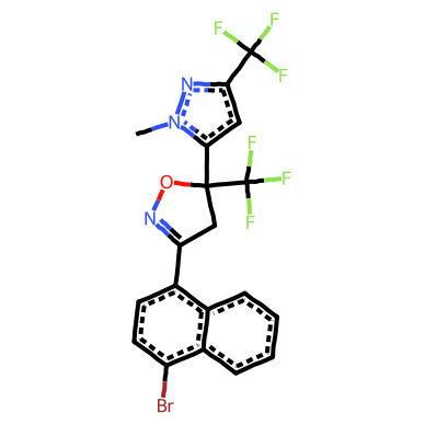 Cn1nc(C(F)(F)F)cc1C1(C(F)(F)F)CC(c2ccc(Br)c3ccccc23)=NO1